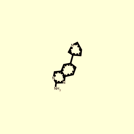 Nc1ncc2cc(-c3cccnc3)ccc2n1